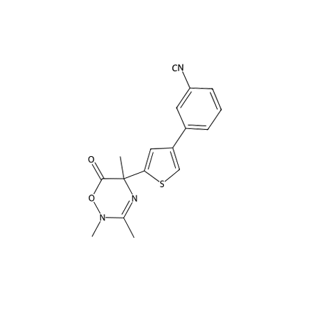 [C-]#[N+]c1cccc(-c2csc(C3(C)N=C(C)N(C)OC3=O)c2)c1